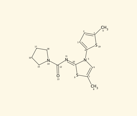 Cc1ccc(-n2cc(C)sc2=NC(=O)N2CCCC2)s1